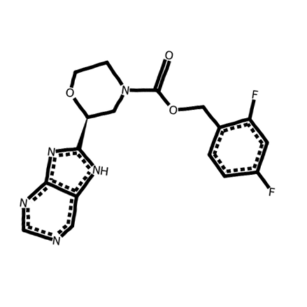 O=C(OCc1ccc(F)cc1F)N1CCO[C@H](c2nc3ncncc3[nH]2)C1